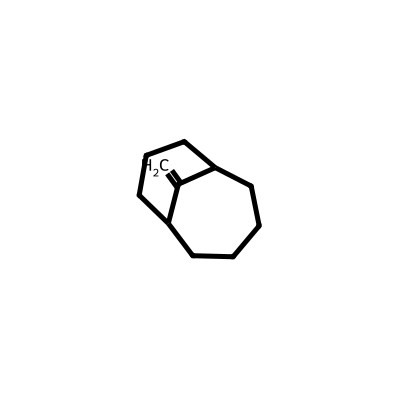 C=C1C2CCCCC1CCC2